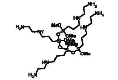 CO[Si](CCCNCCN)(OC)O[Si](CCCNCCN)(OC)O[Si](CCCNCCN)(OC)O[Si](CCCNCCN)(OC)OC